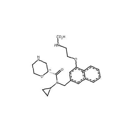 O=C(O)NCCOc1cc(CN(C(=O)[C@H]2CNCCO2)C2CC2)cc2ccccc12